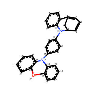 C1=CC2CC(=C1)c1ccccc1N2c1ccc(N2c3ccccc3Oc3ccccc32)cc1